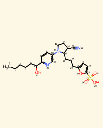 CCCCCC(O)c1ccc(N2CCC(C#N)C2CCCc2ccc(S(=O)(=O)O)o2)cn1